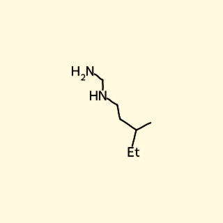 CCC(C)CCNCN